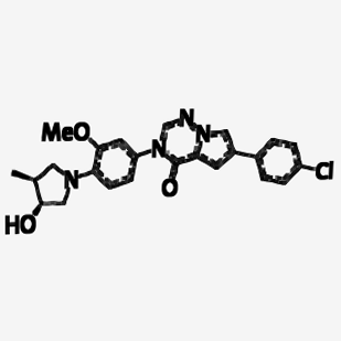 COc1cc(-n2cnn3cc(-c4ccc(Cl)cc4)cc3c2=O)ccc1N1C[C@@H](O)[C@@H](C)C1